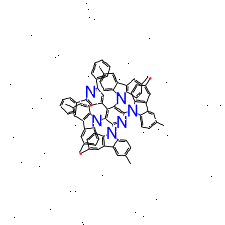 Cc1ccc2c(c1)c1cc(C)ccc1n2-c1nc(-n2c3ccc(C)cc3c3cc(C)ccc32)c(-n2c3ccc(C)cc3c3cc(C)ccc32)c(-c2cc(-c3ccccc3)nc(-c3ccccc3)c2)c1-n1c2ccc(C)cc2c2cc(C)ccc21